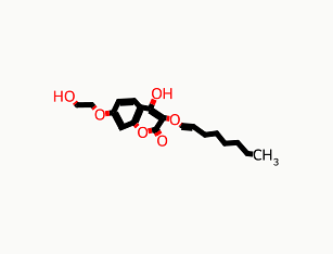 CCCCCCC=COc1c(O)c2ccc(OCCO)cc2oc1=O